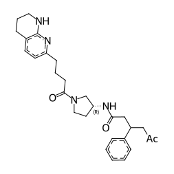 CC(=O)CC(CC(=O)N[C@@H]1CCN(C(=O)CCCc2ccc3c(n2)NCCC3)C1)c1ccccc1